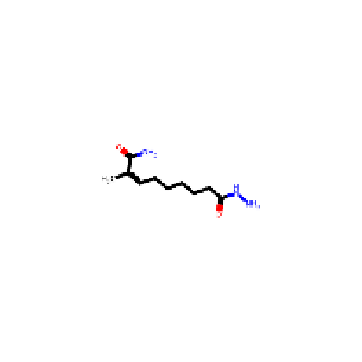 CC(=CCCCCCC(=O)NN)C(N)=O